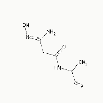 CC(C)NC(=O)C/C(N)=N/O